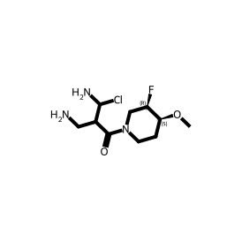 CO[C@H]1CCN(C(=O)C(CN)C(N)Cl)C[C@H]1F